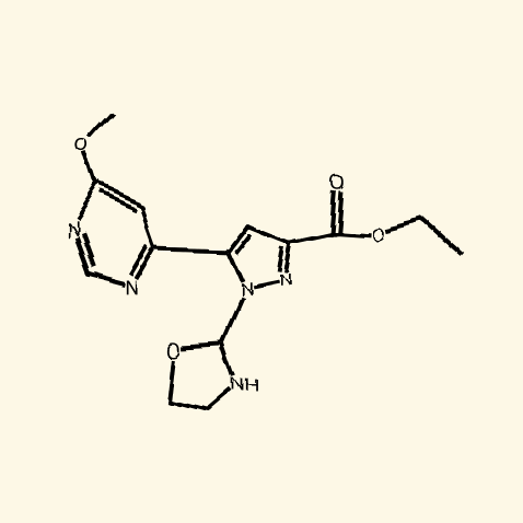 CCOC(=O)c1cc(-c2cc(OC)ncn2)n(C2NCCO2)n1